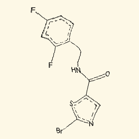 O=C(NCc1ccc(F)cc1F)c1cnc(Br)s1